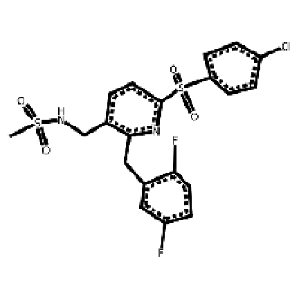 CS(=O)(=O)NCc1ccc(S(=O)(=O)c2ccc(Cl)cc2)nc1Cc1cc(F)ccc1F